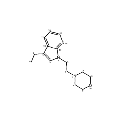 CCc1cn(CCN2CCOCC2)c2ncccc12